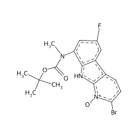 CN(C(=O)OC(C)(C)C)c1cc(F)cc2c1[nH]c1c2ccc(Br)[n+]1[O-]